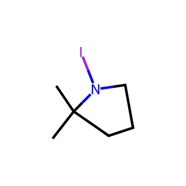 CC1(C)CCCN1I